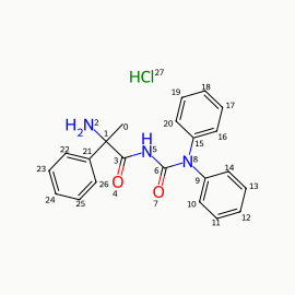 CC(N)(C(=O)NC(=O)N(c1ccccc1)c1ccccc1)c1ccccc1.Cl